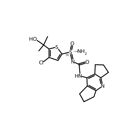 CC(C)(O)c1sc([S@@](N)(=O)=NC(=O)Nc2c3c(nc4c2CCC4)CCC3)cc1Cl